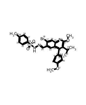 COc1ccc(-c2c(C(C)C)c(OC)nc3cc(Br)c(/C=N/NS(=O)(=O)c4ccc(C)cc4)cc23)cc1